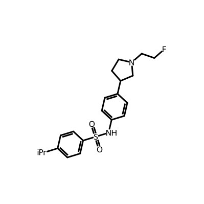 CC(C)c1ccc(S(=O)(=O)Nc2ccc(C3CCN(CCF)C3)cc2)cc1